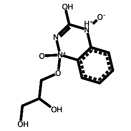 [O-][NH+]1C(O)=N[N+]([O-])(OCC(O)CO)c2ccccc21